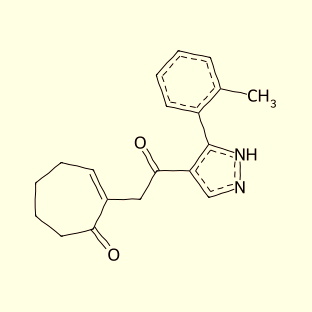 Cc1ccccc1-c1[nH]ncc1C(=O)CC1=CCCCCC1=O